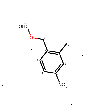 Cc1cc([N+](=O)[O-])ccc1COC=O